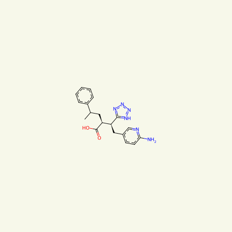 CC(C[C@H](C(=O)O)[C@H](Cc1ccc(N)nc1)c1nnn[nH]1)c1ccccc1